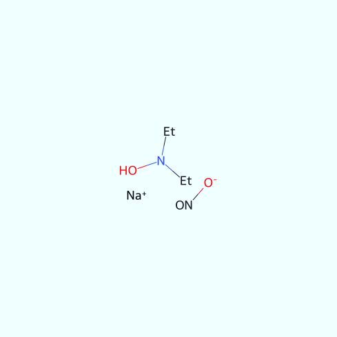 CCN(O)CC.O=N[O-].[Na+]